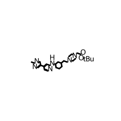 Cc1ncc(-c2ccnc(NC3CCCC(CCN4CCN(CC(=O)OC(C)(C)C)CC4)C3)c2)cn1